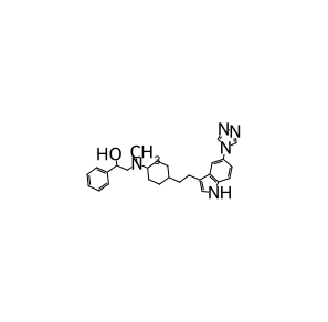 CN(CC(O)c1ccccc1)C1CCC(CCc2c[nH]c3ccc(-n4cnnc4)cc23)CC1